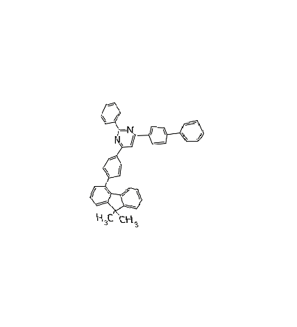 CC1(C)c2ccccc2-c2c(-c3ccc(-c4cc(-c5ccc(-c6ccccc6)cc5)nc(-c5ccccc5)n4)cc3)cccc21